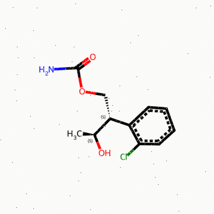 C[C@H](O)[C@H](COC(N)=O)c1ccccc1Cl